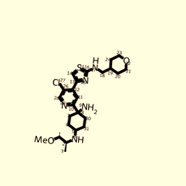 COC[C@H](C)NC1CCC(N)(c2cc(-c3csc(NCC4CCOCC4)n3)c(Cl)cn2)CC1